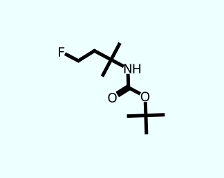 CC(C)(CCF)NC(=O)OC(C)(C)C